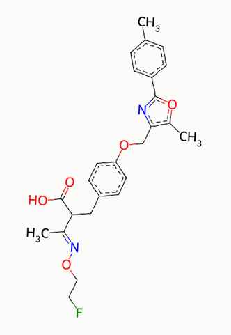 CC(=NOCCF)C(Cc1ccc(OCc2nc(-c3ccc(C)cc3)oc2C)cc1)C(=O)O